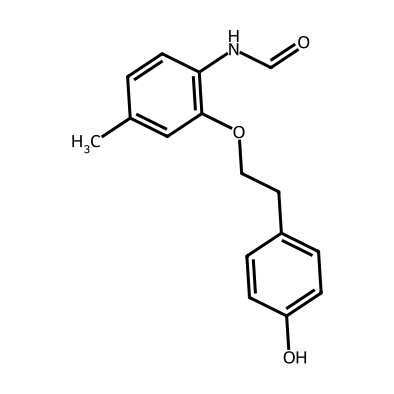 Cc1ccc(NC=O)c(OCCc2ccc(O)cc2)c1